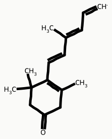 [CH]=C/C=C(C)/C=C/C1=C(C)CC(=O)CC1(C)C